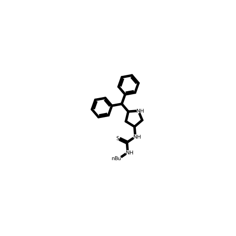 CCCCNC(=S)NC1CNC(C(c2ccccc2)c2ccccc2)C1